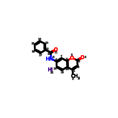 Cc1cc(=O)oc2cc(NC(=O)c3ccccc3)ccc12.I